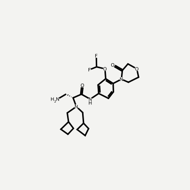 NC[C@H](C(=O)Nc1ccc(N2CCOCC2=O)c(OC(F)F)c1)N(CC1CCC1)CC1CCC1